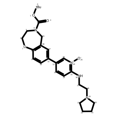 CC(C)(C)OC(=O)N1CCOc2ccc(-c3ccc(NCCN4CCCC4)[n+]([O-])c3)cc2C1